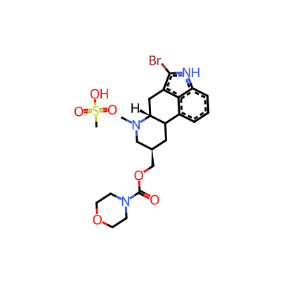 CN1C[C@H](COC(=O)N2CCOCC2)CC2c3cccc4[nH]c(Br)c(c34)C[C@H]21.CS(=O)(=O)O